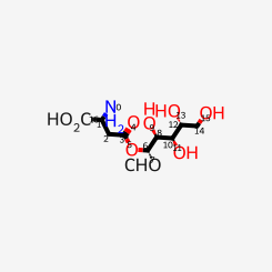 NC(CC(=O)O[C@@H](C=O)[C@@H](O)[C@H](O)[C@H](O)CO)C(=O)O